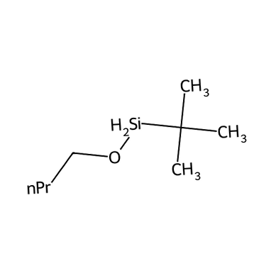 CCCCO[SiH2]C(C)(C)C